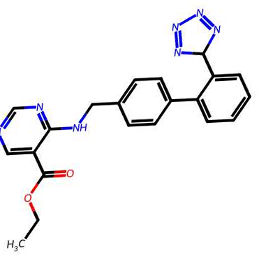 CCOC(=O)c1cncnc1NCc1ccc(-c2ccccc2C2N=NN=N2)cc1